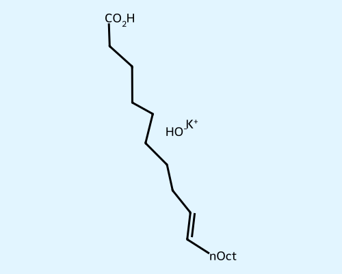 CCCCCCCCC=CCCCCCCCC(=O)O.[K+].[OH-]